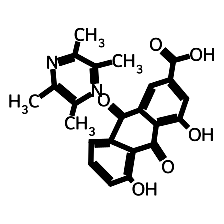 Cc1nc(C)c(C)nc1C.O=C(O)c1cc(O)c2c(c1)C(=O)c1cccc(O)c1C2=O